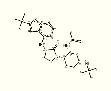 CC(=O)N[C@@H]1C[C@H](NC(C)(C)C)CC[C@@H]1N1CCC(Nc2ncnc3cc(C(C)(C)C)nn23)C1=O